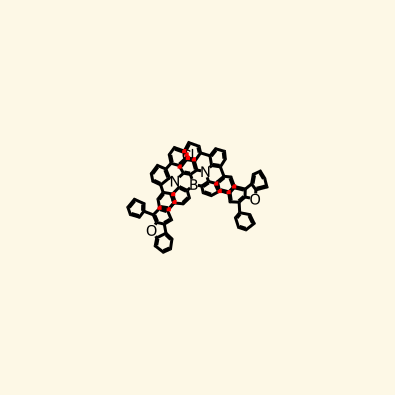 Clc1cc2c3c(c1)N(c1c(-c4ccccc4)cccc1-c1ccccc1)c1cc(-c4cc(-c5ccccc5)c5oc6ccccc6c5c4)ccc1B3c1ccc(-c3cc(-c4ccccc4)c4oc5ccccc5c4c3)cc1N2c1c(-c2ccccc2)cccc1-c1ccccc1